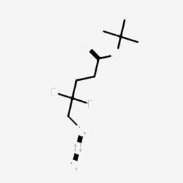 CC(C)(C)OC(=O)CCC(F)(F)CN=[N+]=[N-]